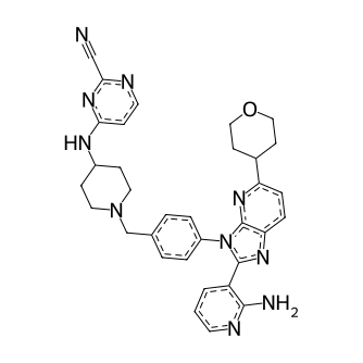 N#Cc1nccc(NC2CCN(Cc3ccc(-n4c(-c5cccnc5N)nc5ccc(C6CCOCC6)nc54)cc3)CC2)n1